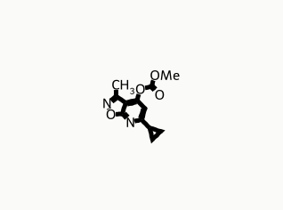 COC(=O)Oc1cc(C2CC2)nc2onc(C)c12